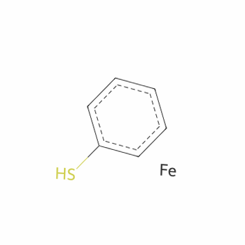 Sc1ccccc1.[Fe]